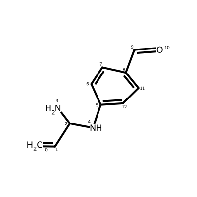 C=CC(N)Nc1ccc(C=O)cc1